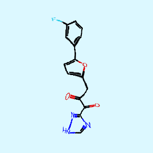 O=C(Cc1ccc(-c2cccc(F)c2)o1)C(=O)c1nc[nH]n1